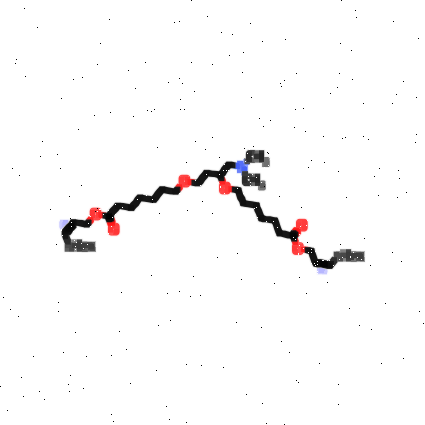 CCCCCC/C=C\COC(=O)CCCCCCOCCC(CN(C)C)OCCCCCCC(=O)OC/C=C\CCCCCC